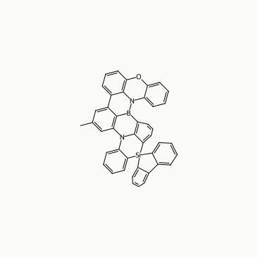 Cc1cc2c3c(c1)N1c4ccccc4[Si]4(c5ccccc5-c5ccccc54)c4cccc(c41)B3N1c3ccccc3Oc3cccc-2c31